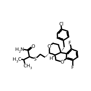 CC(C)C(SCC[C@@H]1OCC[C@@]2(Cc3ccc(Cl)cc3)c3c(F)ccc(F)c3OC[C@@H]12)C(N)=O